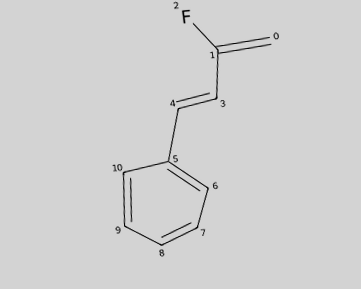 C=C(F)C=Cc1ccccc1